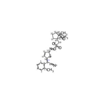 Cc1ccccc1/C(C#N)=C1\C=CC(=NOS(=O)(=O)CC23CCC(CC2=O)C3(C)C)S1